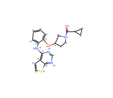 O=C(C1CC1)N1CCC(Oc2ccccc2Nc2ncnc3sccc23)C1